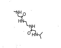 CNCC(=O)NCCNC(=O)CNC(C)C